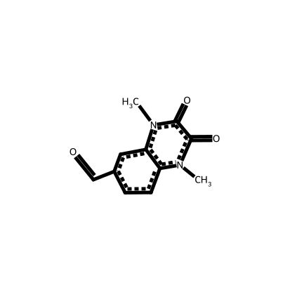 Cn1c(=O)c(=O)n(C)c2cc(C=O)ccc21